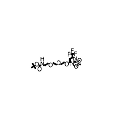 CC(C)(C)OC(=O)NCCOCCOCCOc1cc(C(F)(F)F)nc(S(C)(=O)=O)n1